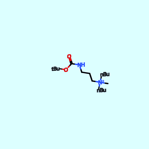 CCCC[N+](C)(CCCC)CCCNC(=O)OC(C)(C)C